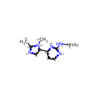 CC(=O)NNc1nccc(-c2cnc(C)n2C)n1